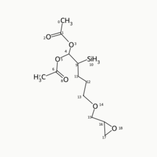 CC(=O)OC(OC(C)=O)C([SiH3])CCCOCC1CO1